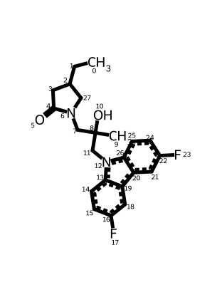 CCC1CC(=O)N(CC(C)(O)Cn2c3ccc(F)cc3c3cc(F)ccc32)C1